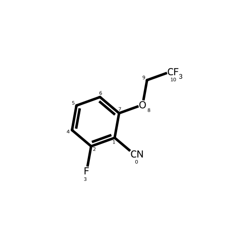 N#Cc1c(F)cccc1OCC(F)(F)F